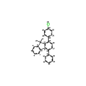 CC1(C)c2ccccc2-c2c(-c3ccccc3)ccc(-c3ccc(Cl)cc3)c21